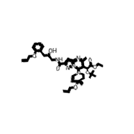 C=CCOc1ccccc1CC(O)CNC(=O)c1cc2nc(C)c([C@H](OC(C)(C)C)C(=O)OCC)c(N3CCC(C)(OCC=C)CC3)n2n1